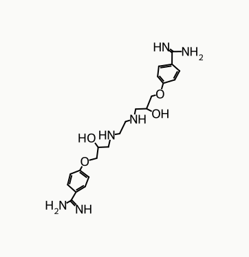 N=C(N)c1ccc(OCC(O)CNCCNCC(O)COc2ccc(C(=N)N)cc2)cc1